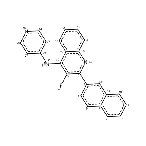 Fc1c(-c2ccc3ccccc3c2)nc2ccccc2c1Nc1ccncc1